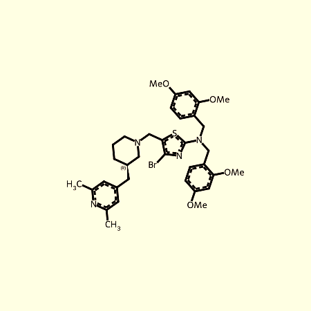 COc1ccc(CN(Cc2ccc(OC)cc2OC)c2nc(Br)c(CN3CCC[C@H](Cc4cc(C)nc(C)c4)C3)s2)c(OC)c1